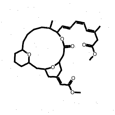 COC(=O)/C=C1\CC2CC(=O)OC(/C=C/C=C\C=C(/C)CC(=O)OC)C(C)CCCCC3CCCC(CC(C1)O2)O3